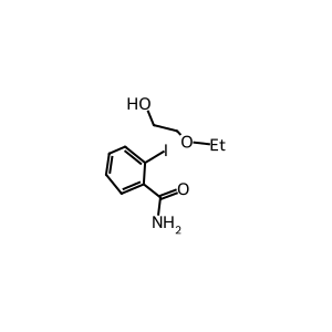 CCOCCO.NC(=O)c1ccccc1I